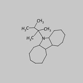 CC(C)C(C)(C)N1C2CCCCCCC2C2CCCCCC21